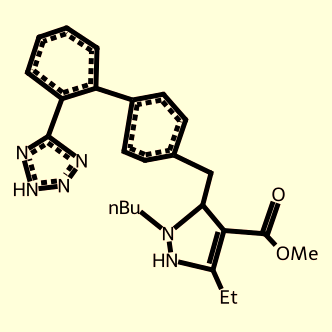 CCCCN1NC(CC)=C(C(=O)OC)C1Cc1ccc(-c2ccccc2-c2nn[nH]n2)cc1